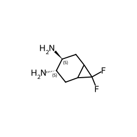 N[C@H]1CC2C(C[C@@H]1N)C2(F)F